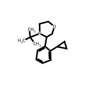 CC(C)(C)N1CCOCC1c1ccccc1C1CC1